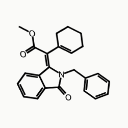 COC(=O)/C(C1=CCCCC1)=C1\c2ccccc2C(=O)N1Cc1ccccc1